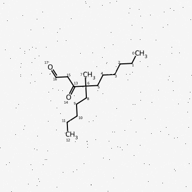 CCCCCCC(C)(CCCCC)C(=O)CC=O